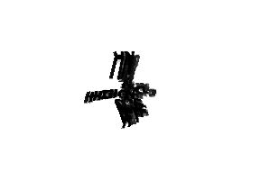 Cc1ccc(C2CN(C3CCNCC3)CCC2N(C)C(=O)c2cc(C(F)(F)F)cc(C(F)(F)F)c2)cc1.Cl.Cl